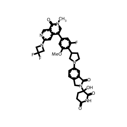 COc1cc(-c2cn(C)c(=O)c3cnc(N4CC(F)(F)C4)cc23)cc(F)c1C1CCN(c2ccc3c(c2)C(=O)N(C2(O)CCC(=O)NC2=O)C3)C1